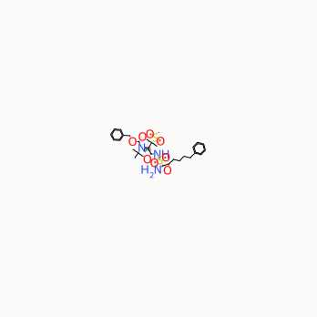 CC(C)(C)N(C(=O)OCc1ccccc1)[C@H](C(=O)NS(=O)(=O)C1(N)OC1CCCCc1ccccc1)C(C)(C)S(C)(=O)=O